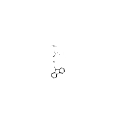 CC(C)(C)OC[C@H](N)C(=O)OC(=O)OCC1c2ccccc2-c2ccccc21